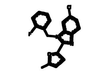 Cc1ccc(-c2nc3ccc(Cl)cc3n2Cc2ccccc2F)o1